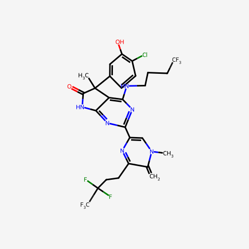 C=C1C(CCC(F)(F)C(F)(F)F)=NC(c2nc(NCCCC(F)(F)F)c3c(n2)NC(=O)C3(C)c2ccc(Cl)c(O)c2)=CN1C